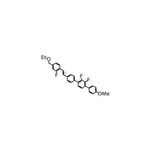 CCOCc1ccc(/C=C/c2ccc(-c3ccc(-c4ccc(OC)cc4)c(F)c3F)cc2)c(F)c1